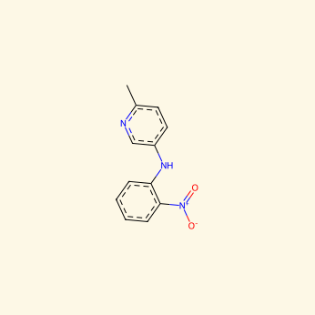 Cc1ccc(Nc2ccccc2[N+](=O)[O-])cn1